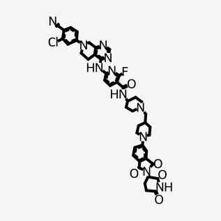 N#Cc1ccc(N2CCc3c(ncnc3Nc3ccc(C(=O)NC4CCN(CC5CCN(c6ccc7c(c6)C(=O)N(C6CCC(=O)NC6=O)C7=O)CC5)CC4)c(F)n3)C2)cc1Cl